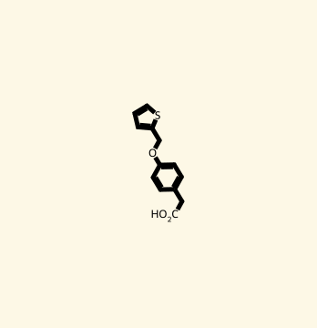 O=C(O)Cc1ccc(OCc2cccs2)cc1